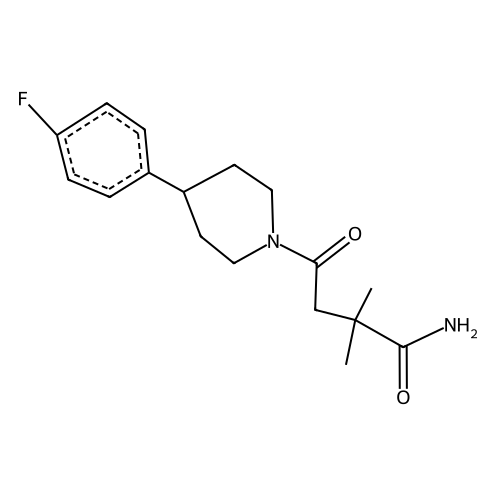 CC(C)(CC(=O)N1CCC(c2ccc(F)cc2)CC1)C(N)=O